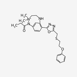 CCC(=O)N1c2ccc(-c3nnc(CSCCOc4ccccc4)o3)c(c2)NCC[N+]1(C)C